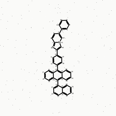 c1ccc(-c2ccc3nc(-c4ccc(-c5c6ccccc6c(-c6cccc7ccccc67)c6ccccc56)cc4)cn3c2)cc1